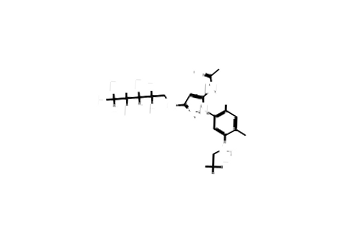 CC(=O)Nc1cc(OCC(F)(F)C(F)(F)C(F)(F)C(F)(F)F)nn1-c1cc([S+]([O-])CC(F)(F)F)c(C)cc1F